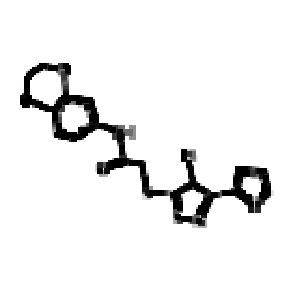 CCC1C(SCC(=O)Nc2ccc3c(c2)OCCO3)=NN=C1c1ccco1